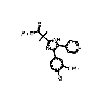 COC(=O)C(C)(C)c1nc(-c2ccc(Cl)c(OC)c2)c(-c2ccncc2)[nH]1